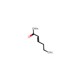 COC(=O)/C=C/CCOC(C)=O